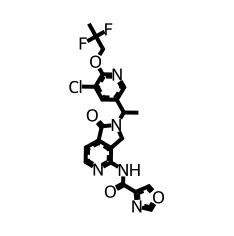 CC(c1cnc(OCC(C)(F)F)c(Cl)c1)N1Cc2c(ccnc2NC(=O)c2cocn2)C1=O